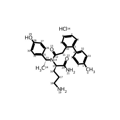 Cc1ccc(-c2ccccc2CC(=O)N([C@H](CCCN)C(N)=O)[C@H](C)c2ccc(O)cc2)cc1.Cl